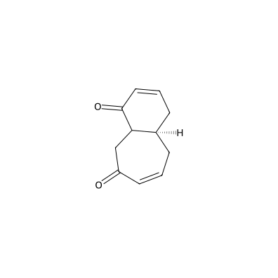 O=C1C=CC[C@@H]2CC=CC(=O)C2C1